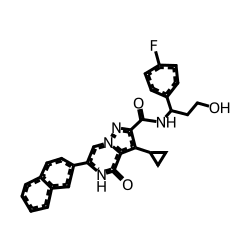 O=C(NC(CCO)c1ccc(F)cc1)c1nn2cc(-c3ccc4ccccc4c3)[nH]c(=O)c2c1C1CC1